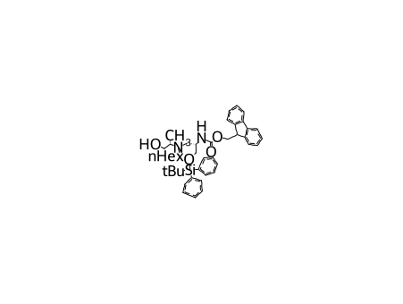 CCCCCCN(C[C@@H](CO[Si](c1ccccc1)(c1ccccc1)C(C)(C)C)NC(=O)OCC1c2ccccc2-c2ccccc21)[C@@H](C)CO